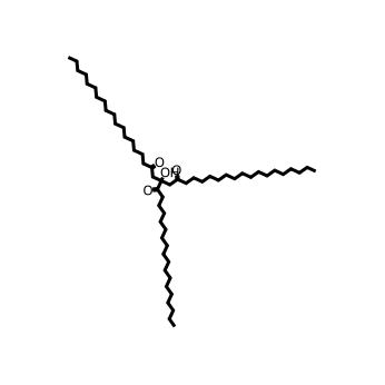 CCCCCCCCCCCCCCCCCC(=O)CC(O)(CC(=O)CCCCCCCCCCCCCCCCC)C(=O)CCCCCCCCCCCCCCCCC